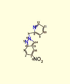 O=[N+]([O-])c1ccc2nn(Cc3ccccn3)cc2c1